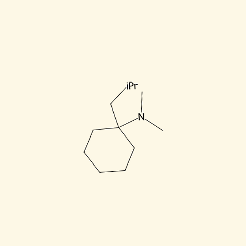 CC(C)CC1(N(C)C)CCCCC1